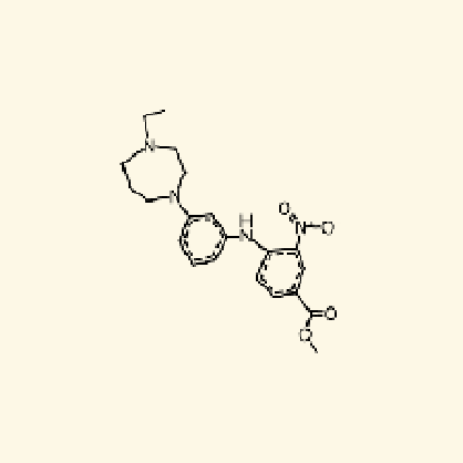 CCN1CCCN(c2cccc(Nc3ccc(C(=O)OC)cc3[N+](=O)[O-])c2)CC1